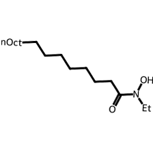 CCCCCCCCCCCCCCCC(=O)N(O)CC